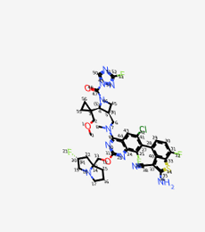 COCC1([C@@H]2[C@H](CN(C)c3nc(OC[C@@]45CCCN4C[C@H](F)C5)nc4c(F)c(-c5ccc(F)c6sc(N)c(C#N)c56)c(Cl)cc34)CN2C(=O)n2cnc(F)n2)CC1